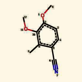 COc1ccc(C#N)c(C)c1OC